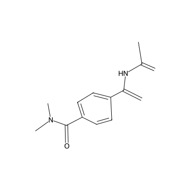 C=C(C)NC(=C)c1ccc(C(=O)N(C)C)cc1